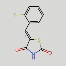 O=C1NC(=O)/C(=C/c2ccccc2F)S1